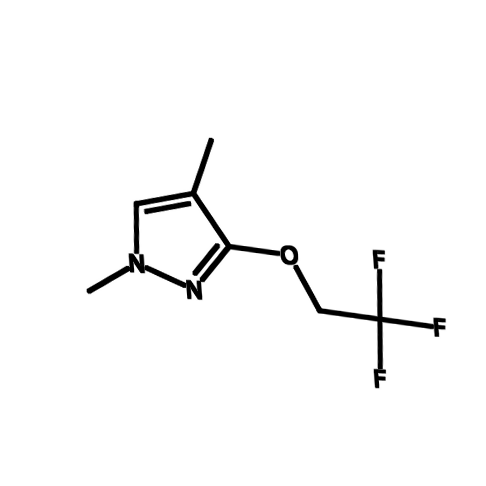 Cc1cn(C)nc1OCC(F)(F)F